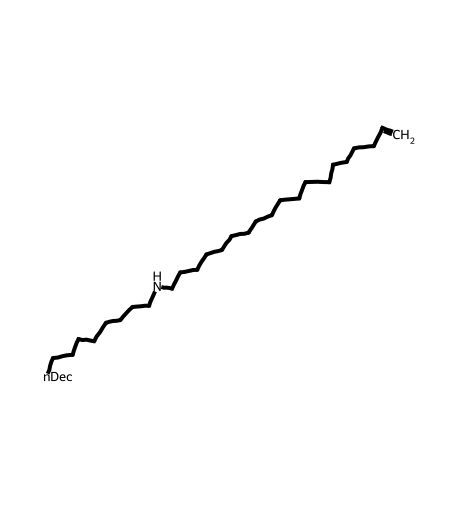 C=CCCCCCCCCCCCCCCCCCNCCCCCCCCCCCCCCCCCC